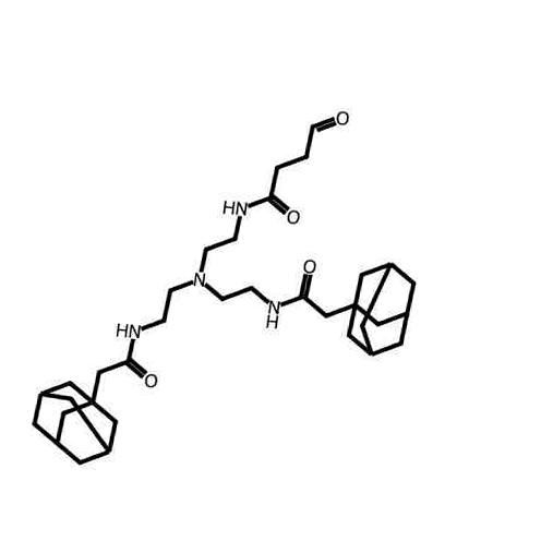 O=CCCC(=O)NCCN(CCNC(=O)CC12CC3CC(CC(C3)C1)C2)CCNC(=O)CC12CC3CC(CC(C3)C1)C2